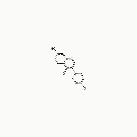 O=c1c(-c2ccc(Cl)cc2)coc2cc(O)ccc12